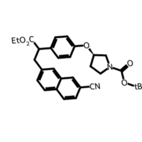 CCOC(=O)C(Cc1ccc2ccc(C#N)cc2c1)c1ccc(O[C@@H]2CCN(C(=O)OC(C)(C)C)C2)cc1